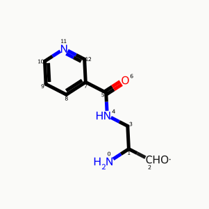 NC([C]=O)CNC(=O)c1cccnc1